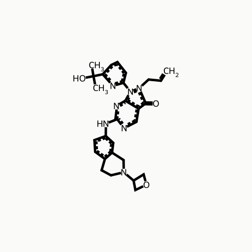 C=CCn1c(=O)c2cnc(Nc3ccc4c(c3)CN(C3COC3)CC4)nc2n1-c1cccc(C(C)(C)O)n1